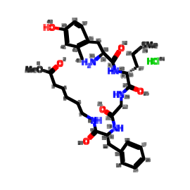 COC(=O)CCCCCNC(=O)[C@H](Cc1ccccc1)NC(=O)CNC(=O)[C@@H](CCSC)NC(=O)[C@@H](N)Cc1ccc(O)cc1C.Cl